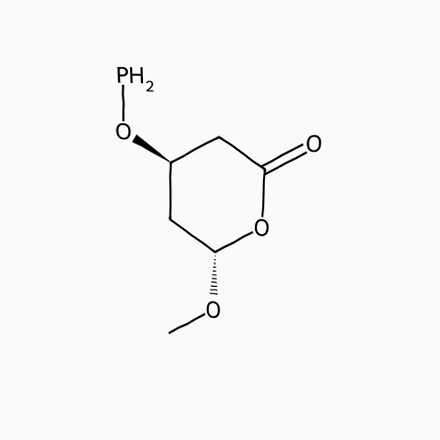 CO[C@@H]1C[C@@H](OP)CC(=O)O1